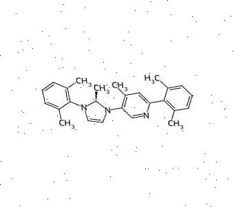 Cc1cc(-c2c(C)cccc2C)ncc1N1C=CN(c2c(C)cccc2C)[C@H]1C